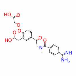 CN(CC(=O)c1ccc(OOCC(=O)O)c(CC(=O)O)c1)C(=O)c1ccc(C(=N)N)cc1